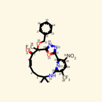 CC1(C)CCC=CC(=O)C(OCc2ccccc2)(C(F)(F)F)c2nnc(o2)-c2nc(c(C(F)(F)F)cc2[N+](=O)[O-])N1